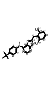 CC(C)(C)c1ccc(Nc2ncnc3[nH]c(Cc4c(Cl)cccc4Cl)nc23)cc1